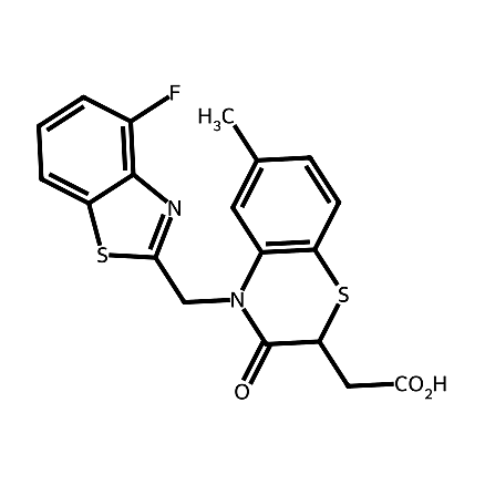 Cc1ccc2c(c1)N(Cc1nc3c(F)cccc3s1)C(=O)C(CC(=O)O)S2